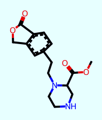 COC(=O)C1CNCCN1CCc1ccc2c(c1)COC2=O